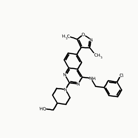 Cc1noc(C)c1-c1ccc2nc(N3CCC(CO)CC3)nc(NCc3cccc(Cl)c3)c2c1